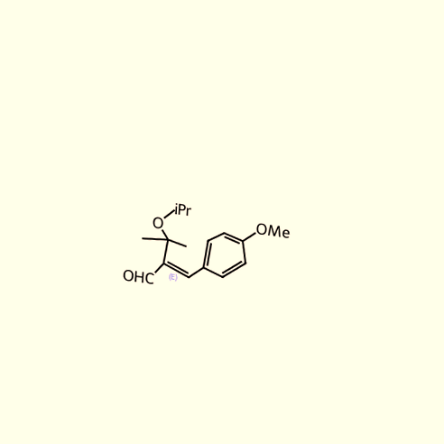 COc1ccc(/C=C(/C=O)C(C)(C)OC(C)C)cc1